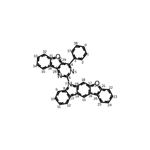 c1ccc(-c2nc(-n3c4ccccc4c4cc5c(cc43)oc3ccccc35)nc3c2oc2ccccc23)cc1